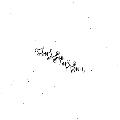 NS(=O)(=O)C1CN(CNS(=O)(=O)C2CN(C3COC3)C2)C1